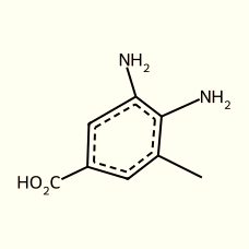 Cc1cc(C(=O)O)cc(N)c1N